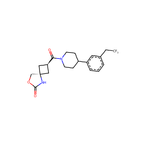 O=C1N[C@]2(CO1)C[C@H](C(=O)N1CCC(c3cccc(CC(F)(F)F)c3)CC1)C2